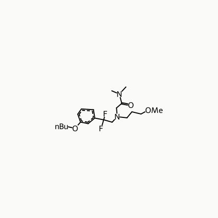 CCCCOc1cccc(C(F)(F)CN(CCCOC)CC(=O)N(C)C)c1